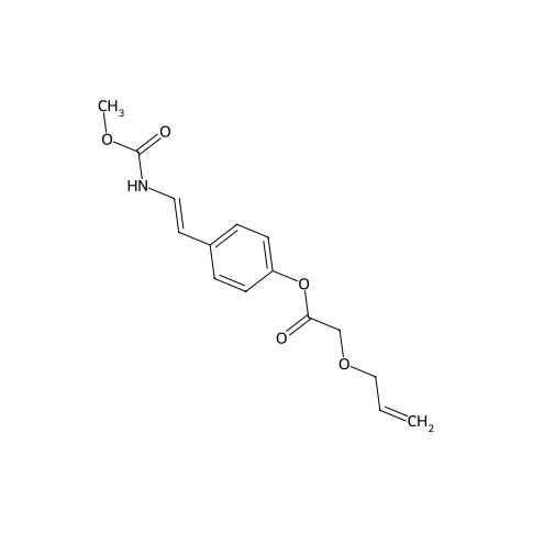 C=CCOCC(=O)Oc1ccc(C=CNC(=O)OC)cc1